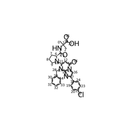 CC(C)(NC(=O)[C@@H]1CCCN1c1cc(=O)n2cc(-c3ccc(Cl)cc3)nc2n1Cc1ccccc1)C(=O)O